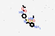 CCNS(=O)(=O)c1cc(N)ccc1-c1cnc([C@H]2CC[C@H](NC(=O)OC(C)C)CC2)s1